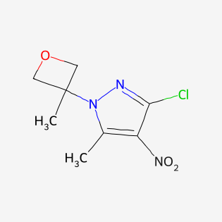 Cc1c([N+](=O)[O-])c(Cl)nn1C1(C)COC1